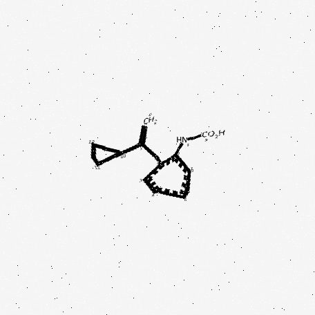 C=C(c1ccccc1NC(=O)O)C1CC1